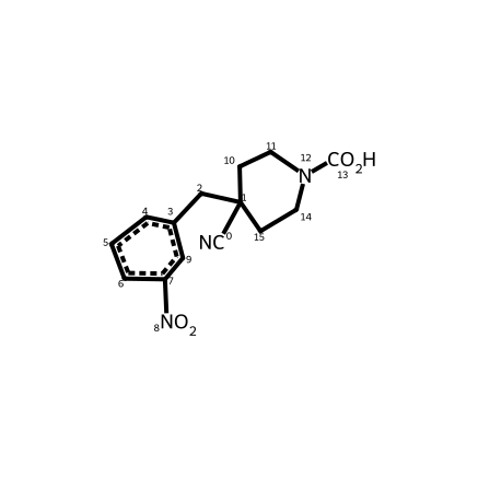 N#CC1(Cc2cccc([N+](=O)[O-])c2)CCN(C(=O)O)CC1